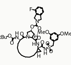 COc1cc(CS(=O)(=O)NC(=O)[C@@]23C[C@H]2CCCCCCC[C@H](NC(=O)OC(C)(C)C)C(=O)N2C[C@H](OC(=O)N4Cc5cccc(F)c5C4)C[C@H]2C(=O)N3)cc(OC)c1